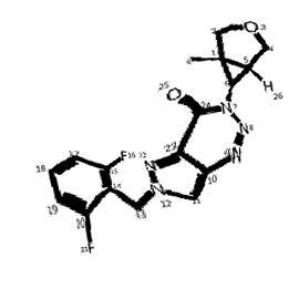 C[C@@]12COC[C@@H]1[C@H]2n1nnc2cn(Cc3c(F)cccc3F)nc2c1=O